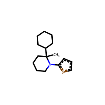 CC1(C2CCCCC2)CCCCN1c1cccs1